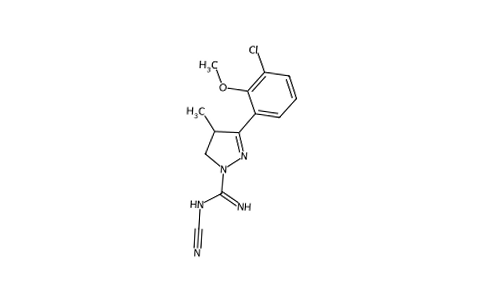 COc1c(Cl)cccc1C1=NN(C(=N)NC#N)CC1C